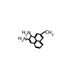 CCc1cc2c3c(cccc3c1)C=C(N)C2N